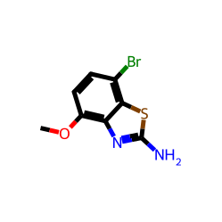 COc1ccc(Br)c2sc(N)nc12